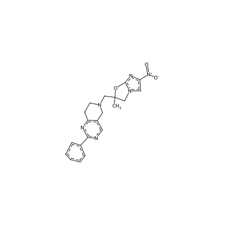 CC1(CN2CCc3nc(-c4ccccc4)ncc3C2)Cn2cc([N+](=O)[O-])nc2O1